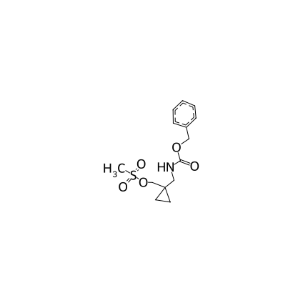 CS(=O)(=O)OCC1(CNC(=O)OCc2ccccc2)CC1